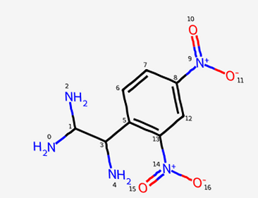 NC(N)C(N)c1ccc([N+](=O)[O-])cc1[N+](=O)[O-]